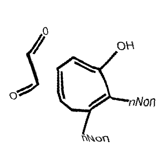 CCCCCCCCCc1cccc(O)c1CCCCCCCCC.O=CC=O